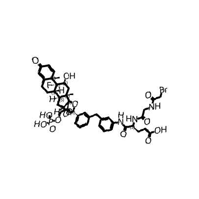 C[C@]12C=CC(=O)C=C1CC[C@H]1[C@@H]3C[C@H]4O[C@@H](c5cccc(Cc6cccc(NC(=O)[C@H](CCC(=O)O)NC(=O)CNC(=O)CBr)c6)c5)O[C@@]4(C(=O)COP(=O)(O)O)[C@@]3(C)C[C@H](O)[C@@]12F